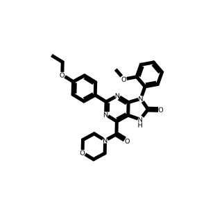 CCOc1ccc(-c2nc(C(=O)N3CCOCC3)c3[nH]c(=O)n(-c4ccccc4OC)c3n2)cc1